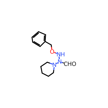 O=CN(NOCc1ccccc1)N1CCCCC1